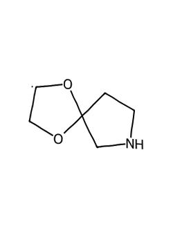 [CH]1COC2(CCNC2)O1